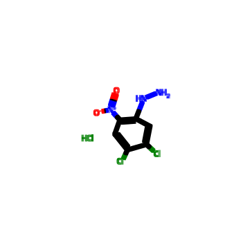 Cl.NNc1cc(Cl)c(Cl)cc1[N+](=O)[O-]